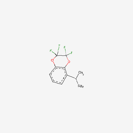 CSC(C)c1cccc2c1OC(F)(F)C(F)(F)O2